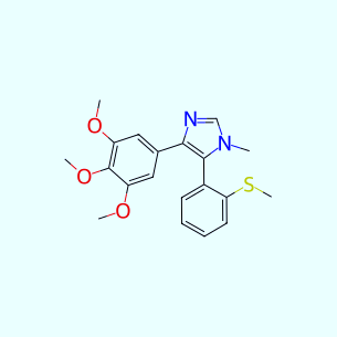 COc1cc(-c2ncn(C)c2-c2ccccc2SC)cc(OC)c1OC